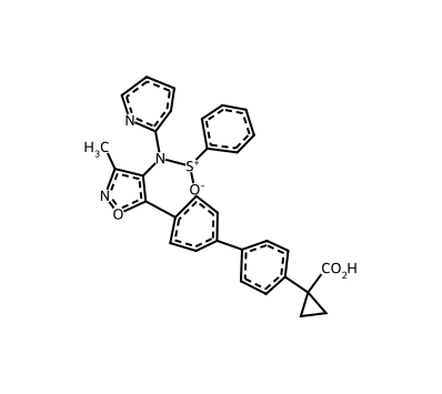 Cc1noc(-c2ccc(-c3ccc(C4(C(=O)O)CC4)cc3)cc2)c1N(c1ccccn1)[S+]([O-])c1ccccc1